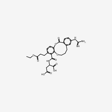 CCOC(=O)CCc1ccc2c(c1C(=O)NC(CC(=O)O)C(=O)O)OCCCc1cc(NC(=N)N)ccc1C(=O)O2